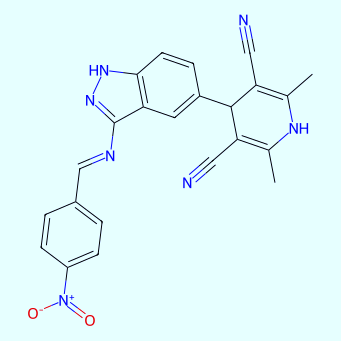 CC1=C(C#N)C(c2ccc3[nH]nc(/N=C/c4ccc([N+](=O)[O-])cc4)c3c2)C(C#N)=C(C)N1